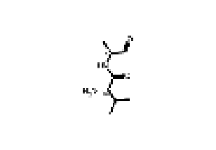 CC(C)[C@H](N)C(=O)N[C@@H](C)C=O